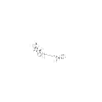 O=C1CCC(N2C(=O)c3cccc(NCCCCCCNCC(=O)N4CCNCC4)c3C2=O)C(=O)N1